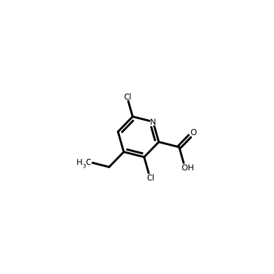 CCc1cc(Cl)nc(C(=O)O)c1Cl